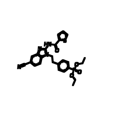 CCOP(=O)(OCC)c1ccc(CCn2c(NC(=O)c3cccs3)nc3cc(C#N)ccc32)cc1